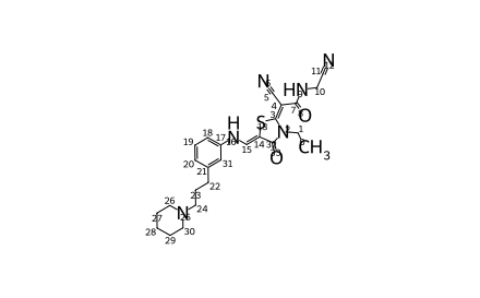 CCn1c(=C(C#N)C(=O)NCC#N)sc(=CNc2cccc(CCCN3CCCCC3)c2)c1=O